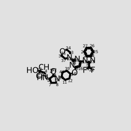 CC(C)(O)CN[C@H]1CCN([C@H]2CC[C@H](Oc3cc(-n4c(C(F)F)nc5ccccc54)nc(N4CCOCC4)n3)CC2)C1=O